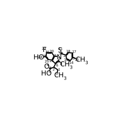 CCC(C(=O)O)c1c(C)n(C(=S)c2ccc(C)cc2)c2cc(F)c(O)cc12